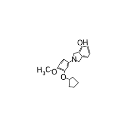 COc1ccc(N2Cc3cccc(O)c3C2)cc1OC1CCCC1